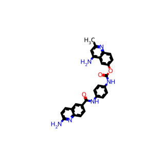 Cc1cc(N)c2cc(OC(=O)Nc3ccc(NC(=O)c4ccc5nc(N)ccc5c4)cc3)ccc2n1